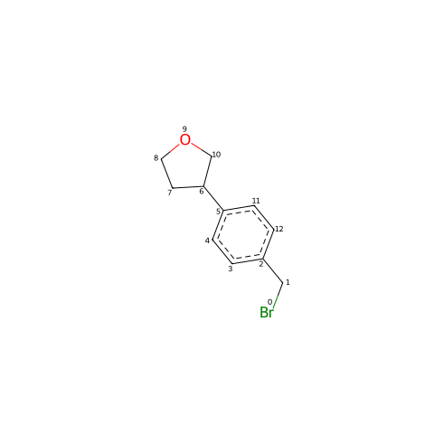 BrCc1ccc(C2CCOC2)cc1